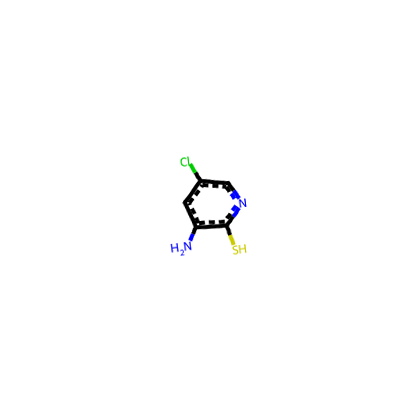 Nc1cc(Cl)cnc1S